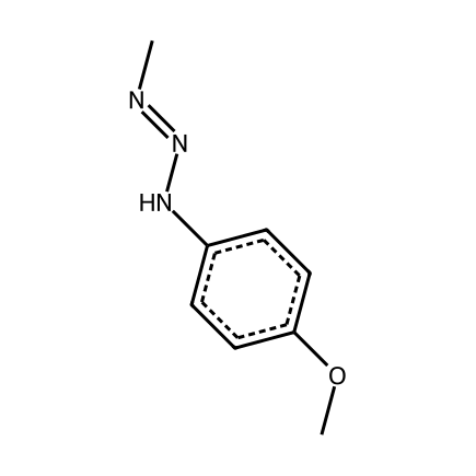 CN=NNc1ccc(OC)cc1